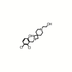 OCCN1CCC2(CC1)CN(Cc1c(O)ccc(Cl)c1Cl)C2